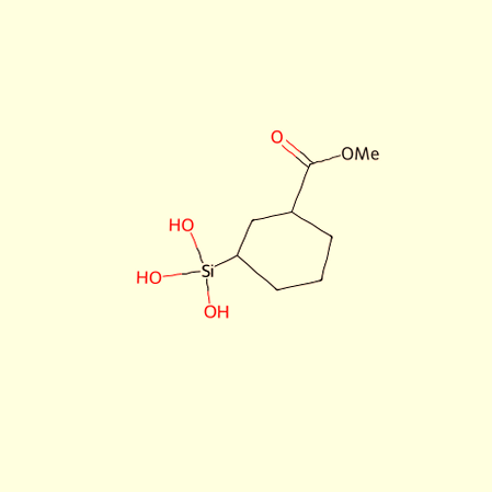 COC(=O)C1CCCC([Si](O)(O)O)C1